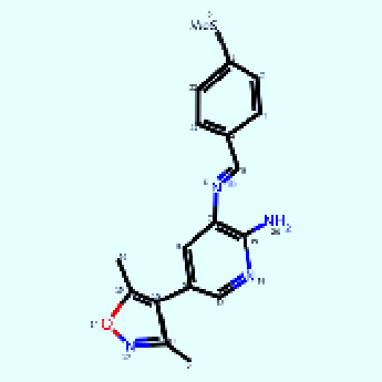 CSc1ccc(/C=N/c2cc(-c3c(C)noc3C)cnc2N)cc1